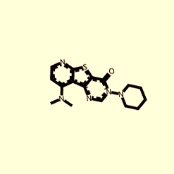 CN(C)c1ccnc2sc3c(=O)n(N4CCCCC4)cnc3c12